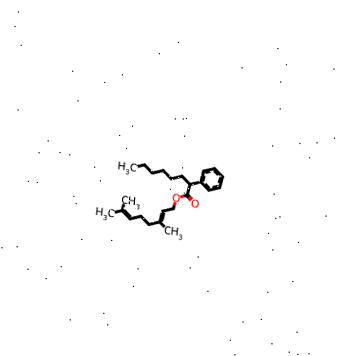 CCCCCCC(C(=O)OC/C=C(\C)CCC=C(C)C)c1ccccc1